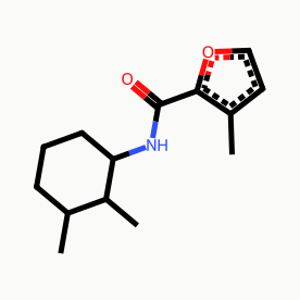 Cc1ccoc1C(=O)NC1CCCC(C)C1C